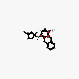 CC1(OC(=O)C2C3c4ccccc4C(c4ccccc43)C2C(=O)O)C=C(I)CC1